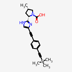 C[C@H]1C[C@@H](c2nc(C#Cc3ccc(C#C[Si](C)(C)C)cc3)c[nH]2)N(C(=O)O)C1